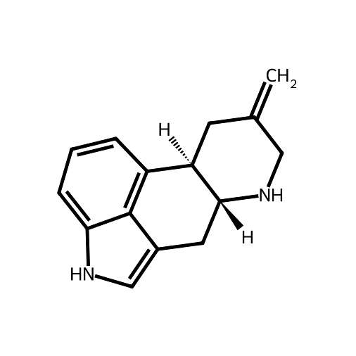 C=C1CN[C@@H]2Cc3c[nH]c4cccc(c34)[C@H]2C1